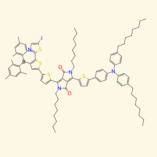 CCCCCCCCc1ccc(N(c2ccc(CCCCCCCC)cc2)c2ccc(-c3ccc(C4=C5C(=O)N(CCCCCCCC)C(c6ccc(-c7cc(B(c8c(C)cc(C)cc8C)c8c(C)cc(C)cc8C)c(-c8ncc(I)s8)s7)s6)=C5C(=O)N4CCCCCCCC)s3)cc2)cc1